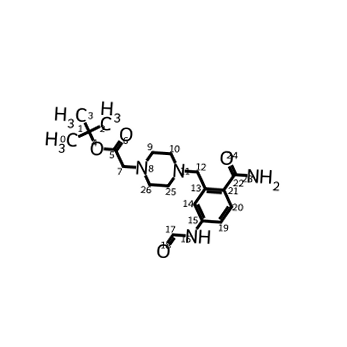 CC(C)(C)OC(=O)CN1CCN(Cc2cc(NC=O)ccc2C(N)=O)CC1